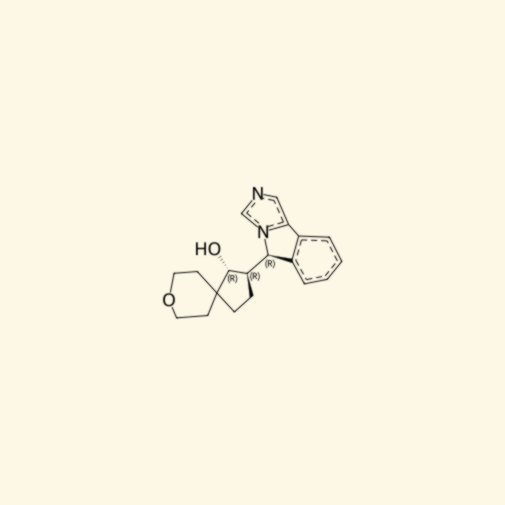 O[C@@H]1[C@@H]([C@@H]2c3ccccc3-c3cncn32)CCC12CCOCC2